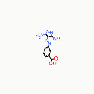 N=C1N=NC(N)=C1/N=N/c1cccc(C(=O)O)c1